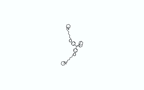 c1cc(C(=C2C3CC4CC(C3)CC2C4)c2ccc(OCCCCCCN3CCCCC3)cc2)ccc1OCCCCCCN1CCCCC1